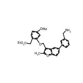 CCOC(=O)Cc1ccc(OC)cc1OCc1c(C)oc2ccc(-c3cccc(CN)c3)cc12